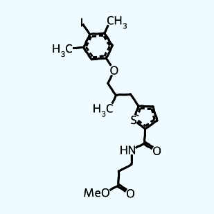 COC(=O)CCNC(=O)c1ccc(CC(C)COc2cc(C)c(I)c(C)c2)s1